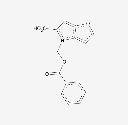 O=C(OCn1c(C(=O)O)cc2occc21)c1ccccc1